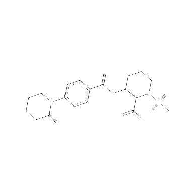 CS(=O)(=O)N1CC[CH]C(NC(=O)c2ccc(N3CCCCC3=O)cc2)C1C(N)=O